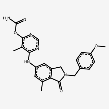 COc1ccc(CN2Cc3cc(Nc4ncnc(OC(N)=O)c4C)cc(C)c3C2=O)cc1